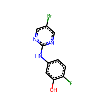 Oc1cc(Nc2ncc(Br)cn2)ccc1F